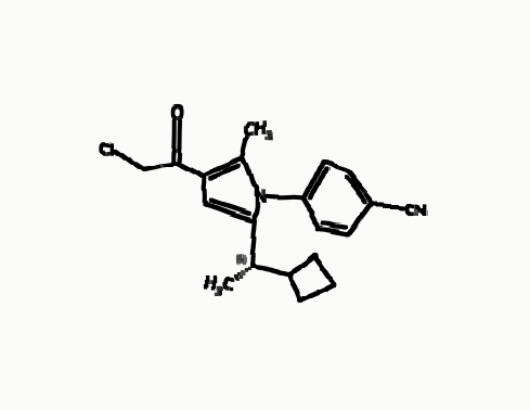 Cc1c(C(=O)CCl)cc([C@@H](C)C2CCC2)n1-c1ccc(C#N)cc1